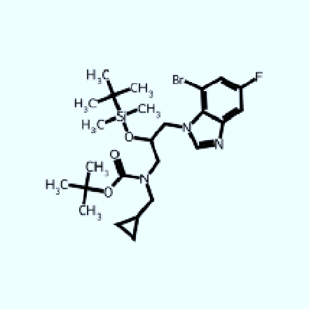 CC(C)(C)OC(=O)N(CC1CC1)CC(Cn1cnc2cc(F)cc(Br)c21)O[Si](C)(C)C(C)(C)C